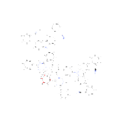 N#Cc1ccccc1-c1ccc2c(c1)c1cc(-c3ccccc3C#N)ccc1n2-c1ccc(-c2cccc(-c3ccc(-n4c5ccc(-c6ccccc6C#N)cc5c5cc(-c6ccccc6C#N)ccc54)cc3-c3nc(-c4ccccc4)nc(-c4ccccc4)n3)c2)c(-c2nc(-c3ccccc3)nc(-c3ccccc3)n2)c1